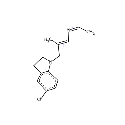 C/C=N\C=C(/C)CN1CCc2cc(Cl)ccc21